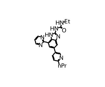 CCCc1ccc(-c2cc(-c3ncccn3)c3[nH]c(NC(=O)NCC)nc3c2)cn1